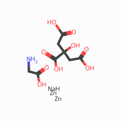 NCC(=O)O.O=C(O)CC(O)(CC(=O)O)C(=O)O.[NaH].[Zn].[Zn]